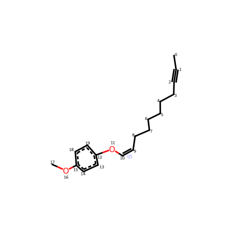 CC#CCCCCCC/C=C\Oc1ccc(OC)cc1